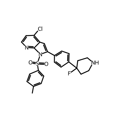 Cc1ccc(S(=O)(=O)n2c(-c3ccc(C4(F)CCNCC4)cc3)cc3c(Cl)ccnc32)cc1